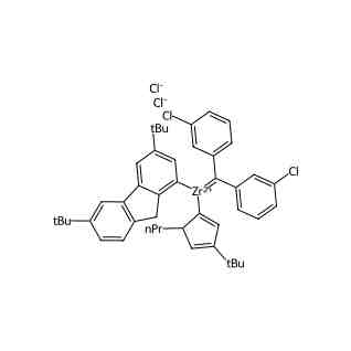 CCCC1C=C(C(C)(C)C)C=[C]1[Zr+2](=[C](c1cccc(Cl)c1)c1cccc(Cl)c1)[c]1cc(C(C)(C)C)cc2c1Cc1ccc(C(C)(C)C)cc1-2.[Cl-].[Cl-]